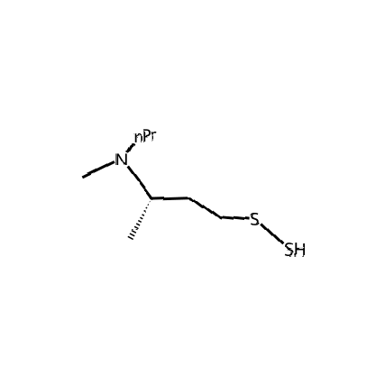 CCCN(C)[C@@H](C)CCSS